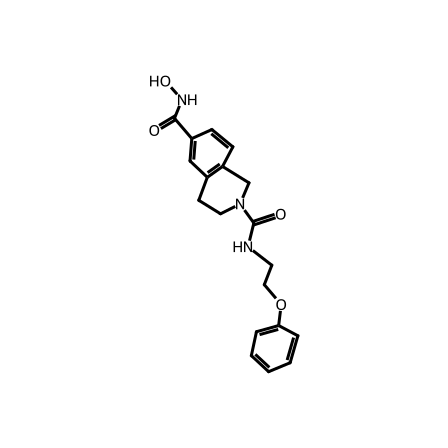 O=C(NO)c1ccc2c(c1)CCN(C(=O)NCCOc1ccccc1)C2